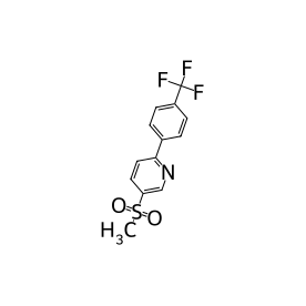 CS(=O)(=O)c1ccc(-c2ccc(C(F)(F)F)cc2)nc1